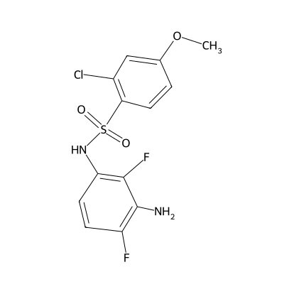 COc1ccc(S(=O)(=O)Nc2ccc(F)c(N)c2F)c(Cl)c1